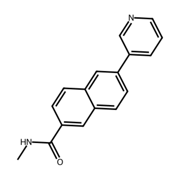 CNC(=O)c1ccc2cc(-c3cccnc3)ccc2c1